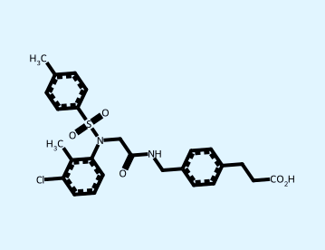 Cc1ccc(S(=O)(=O)N(CC(=O)NCc2ccc(CCC(=O)O)cc2)c2cccc(Cl)c2C)cc1